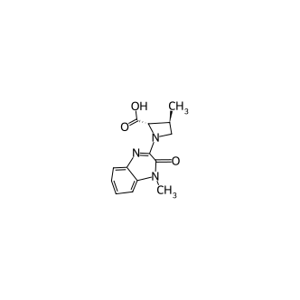 C[C@H]1CN(c2nc3ccccc3n(C)c2=O)[C@@H]1C(=O)O